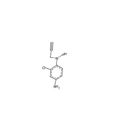 C#CCN(CCC)c1ccc(N)cc1Cl